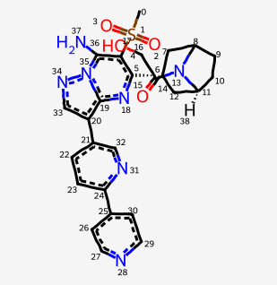 CS(=O)(=O)c1c([C@@H]2CC3CC[C@@H](C2)N3C(=O)CO)nc2c(-c3ccc(-c4ccncc4)nc3)cnn2c1N